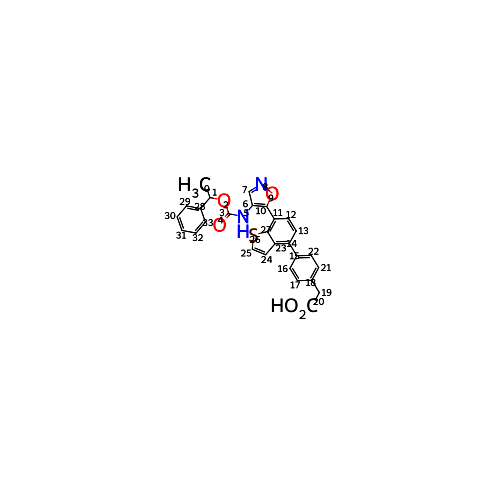 CC(OC(=O)Nc1cnoc1-c1ccc(-c2ccc(CC(=O)O)cc2)c2ccsc12)c1ccccc1